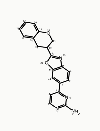 Nc1nccc(-c2ccc3nc(C4COc5ccccc5C4)oc3c2)n1